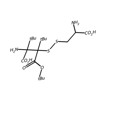 CC(C)(C)OC(=O)C(SSCC(N)C(=O)O)(C(C)(C)C)C(N)(C(=O)O)C(C)(C)C